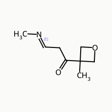 C/N=C/CC(=O)C1(C)COC1